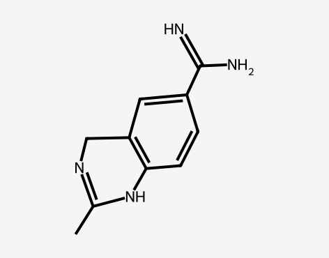 CC1=NCc2cc(C(=N)N)ccc2N1